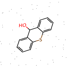 OC1c2ccccc2Sc2ccccc21